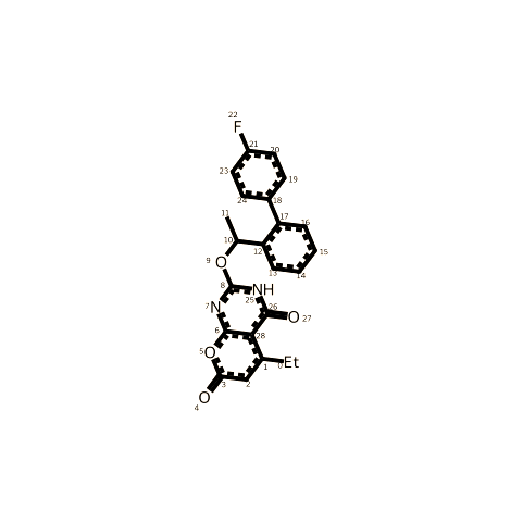 CCc1cc(=O)oc2nc(OC(C)c3ccccc3-c3ccc(F)cc3)[nH]c(=O)c12